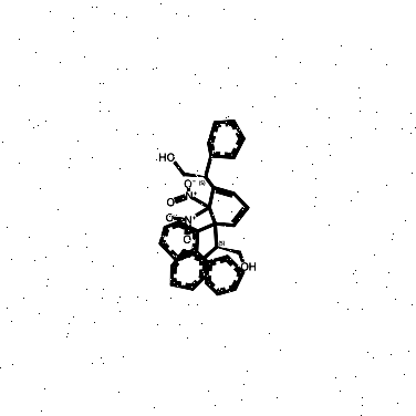 O=[N+]([O-])C1([N+](=O)[O-])C([C@@H](CO)c2ccccc2)=CC=CC1(c1ccccc1-c1ccccc1)[C@@H](CO)c1ccccc1